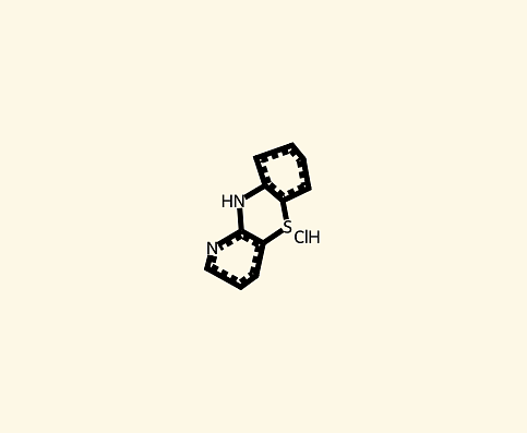 Cl.c1ccc2c(c1)Nc1ncccc1S2